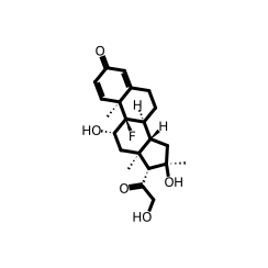 C[C@]12C[C@H](O)[C@@]3(F)[C@@H](CCC4=CC(=O)C=C[C@@]43C)[C@@H]1C[C@@](C)(O)[C@@H]2C(=O)CO